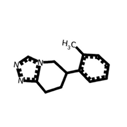 Cc1ccccc1C1CCc2nncn2C1